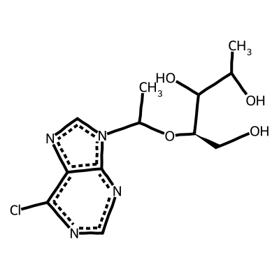 CC(O)C(O)[C@@H](CO)OC(C)n1cnc2c(Cl)ncnc21